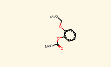 COCOc1ccccc1OC(=O)OC